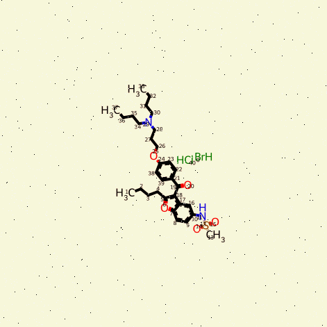 Br.CCCCc1oc2ccc(NS(C)(=O)=O)cc2c1C(=O)c1ccc(OCCCN(CCCC)CCCC)cc1.Cl